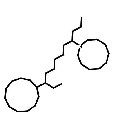 CCCC(CCCCCC(CC)C1CCCCCCCCCC1)N1CCCCCCCCC1